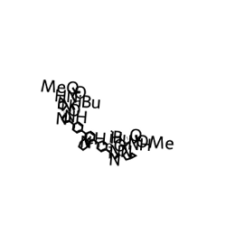 CCC(C)[C@H](NC(=O)OC)C(=O)N1C2CC2C[C@H]1c1ncc(-c2ccc(-c3ccc(-c4ccc(-c5cnc([C@@H]6CC7CC7N6C(=O)[C@@H](NC(=O)OC)C(C)CC)[nH]5)cc4)c4c3C3CCC4N3C)cc2)[nH]1